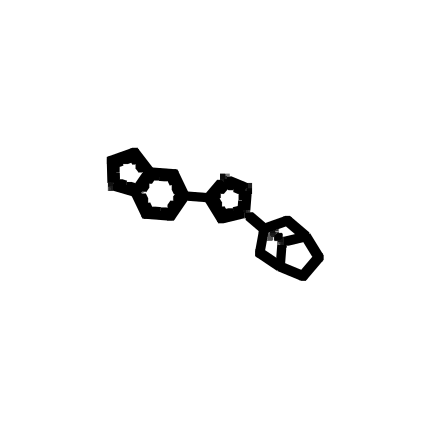 CN1C2CCC1CC(n1cc(-c3ccc4sccc4c3)nn1)C2